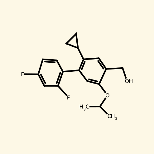 CC(C)Oc1cc(-c2ccc(F)cc2F)c(C2CC2)cc1CO